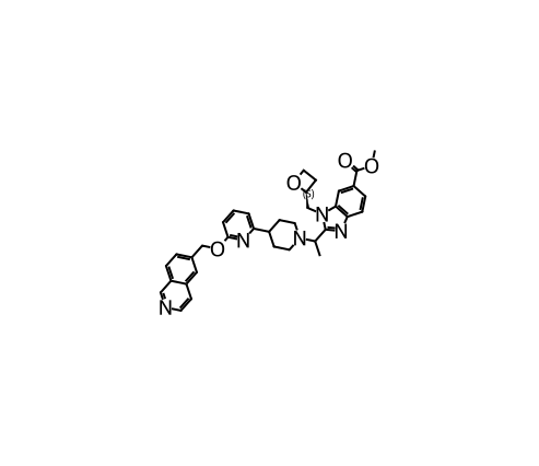 COC(=O)c1ccc2nc(C(C)N3CCC(c4cccc(OCc5ccc6cnccc6c5)n4)CC3)n(C[C@@H]3CCO3)c2c1